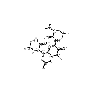 CN[C@@H](CC(C)C)C(=O)NCC(=O)N(C)[C@@H](CC(C)C)C(=O)N[C@@H](CC(C)C)C(=O)O